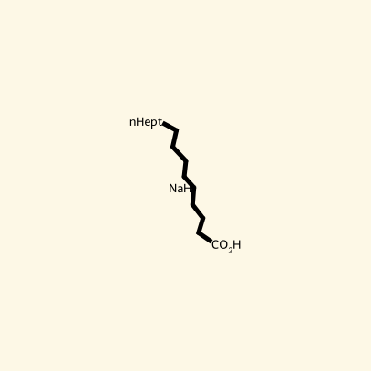 CCCCCCCCCCCCCCCC(=O)O.[NaH]